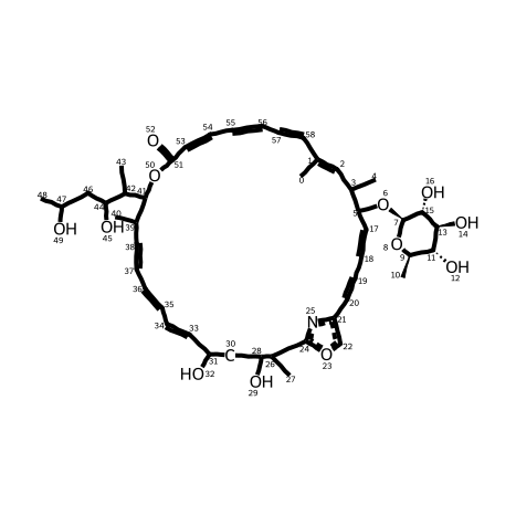 CC1=C/C(C)C(O[C@@H]2O[C@H](C)[C@@H](O)[C@H](O)[C@H]2O)/C=C\C=C\c2coc(n2)C(C)C(O)CC(O)/C=C/C=C/C=C\C(C)C(C(C)C(O)CC(C)O)OC(=O)\C=C/C=C\C=C/1